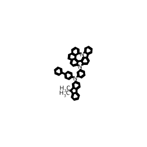 CC1(C)c2ccccc2-c2ccc(N(c3ccc(-c4ccccc4)cc3)c3cccc(-n4c5ccc6ccc7cccc8c7c6c5c5c4ccc4c6ccccc6n8c45)c3)cc21